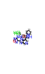 CCn1c(-c2nonc2N)nc2cncc(C(=O)NN3CCCCC3)c21.Cl.Cl